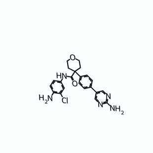 Nc1ncc(-c2ccc(C3(C(=O)Nc4ccc(N)c(Cl)c4)CCOCC3)cc2)cn1